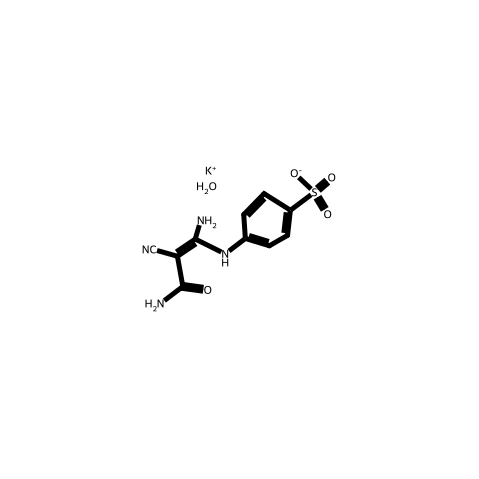 N#CC(C(N)=O)=C(N)Nc1ccc(S(=O)(=O)[O-])cc1.O.[K+]